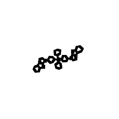 c1ccc([Si](c2ccccc2)(c2ccc(-n3ccn4c5ccccc5nc34)cc2)c2ccc(-n3ccn4c5ccccc5nc34)cc2)cc1